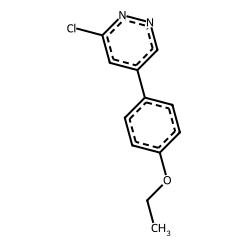 CCOc1ccc(-c2cnnc(Cl)c2)cc1